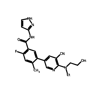 CCN(CCO)c1ncc(-c2cc(C(=O)Nc3cc[nH]n3)c(F)cc2C)cc1C#N